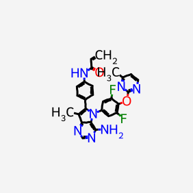 C=CC(=O)Nc1ccc(-c2c(C)c3ncnc(N)c3n2-c2cc(F)c(Oc3nccc(C)n3)c(F)c2)cc1